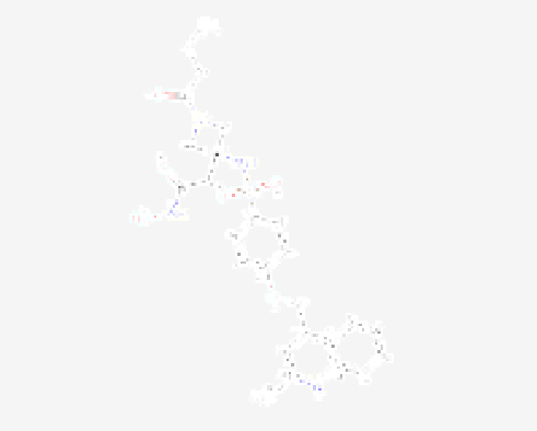 CCCC(=O)N1CC(CC(=O)NO)(NS(=O)(=O)c2ccc(OCc3cc(C)nc4ccccc34)cc2)C1